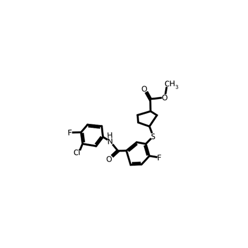 COC(=O)C1CCC(Sc2cc(C(=O)Nc3ccc(F)c(Cl)c3)ccc2F)C1